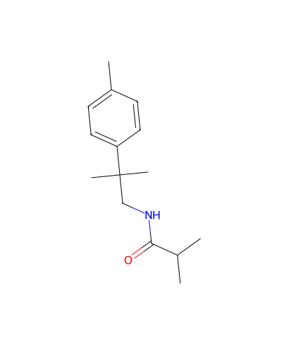 Cc1ccc(C(C)(C)CNC(=O)C(C)C)cc1